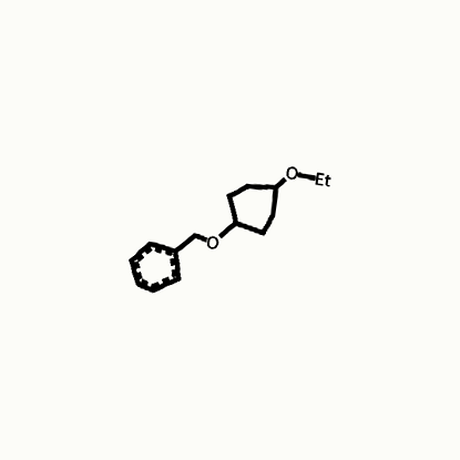 CCOC1CCC(OCc2ccccc2)CC1